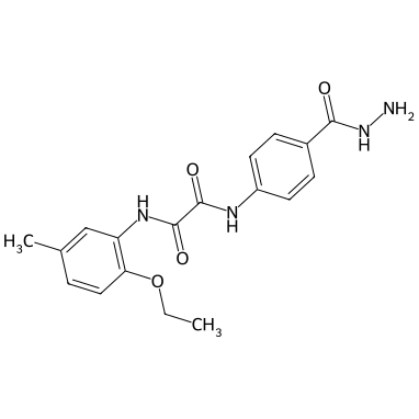 CCOc1ccc(C)cc1NC(=O)C(=O)Nc1ccc(C(=O)NN)cc1